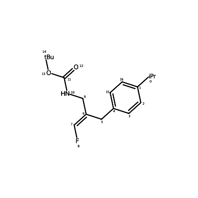 CC(C)c1ccc(C/C(=C\F)CNC(=O)OC(C)(C)C)cc1